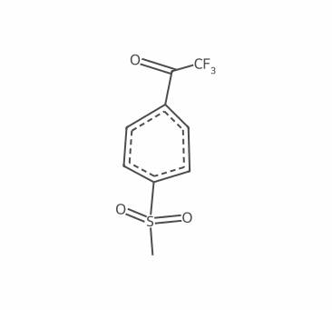 CS(=O)(=O)c1ccc(C(=O)C(F)(F)F)cc1